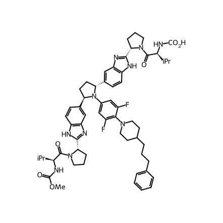 COC(=O)N[C@H](C(=O)N1CCC[C@H]1c1nc2cc([C@H]3CC[C@H](c4ccc5[nH]c([C@@H]6CCCN6C(=O)[C@@H](NC(=O)O)C(C)C)nc5c4)N3c3cc(F)c(N4CCC(CCCc5ccccc5)CC4)c(F)c3)ccc2[nH]1)C(C)C